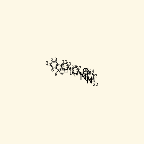 Cc1ccc2c(c1)C(C)(C)c1cc(-c3ccc(-c4nc5nc(C)ccc5o4)cc3)ccc1-2